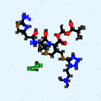 CCC(CC)C(=O)OC(C)OC(=O)C1=C(CSc2nnnn2CCN(C)C)CS[C@@H]2[C@H](NC(=O)Cc3csc(N)n3)C(=O)N12.Cl.Cl